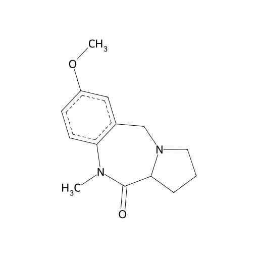 COc1ccc2c(c1)CN1CCCC1C(=O)N2C